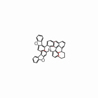 c1ccc(N(c2ccc3c(c2)oc2ccccc23)c2ccccc2-c2cccc3oc4ccccc4c23)c(-c2cccc3cccc(C4CCCCC4)c23)c1